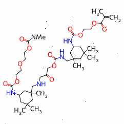 C=C(C)C(=O)OCCOC(=O)NC1CC(C)(C)CC(C)(CNC(=O)OCC(=O)CNCC2(C)CC(NC(=O)OCCOCCOC(=O)NC)CC(C)(C)C2)C1